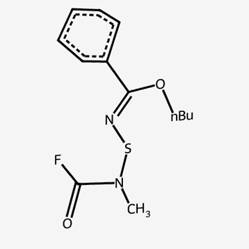 CCCCOC(=NSN(C)C(=O)F)c1ccccc1